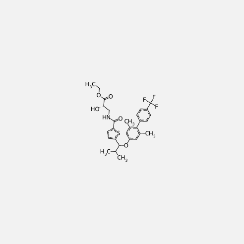 CCOC(=O)[C@@H](O)CNC(=O)c1ccc(C(Oc2cc(C)c(-c3ccc(C(F)(F)F)cc3)c(C)c2)C(C)C)s1